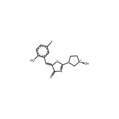 O=C1N=C(N2CC[C@@H](O)C2)S/C1=C\c1cc(F)ccc1O